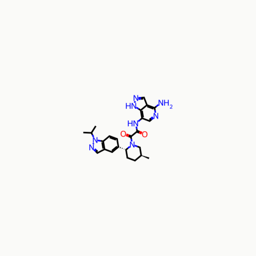 CC(C)n1ncc2cc([C@H]3CC[C@H](C)CN3C(=O)C(=O)Nc3cnc(N)c4cn[nH]c34)ccc21